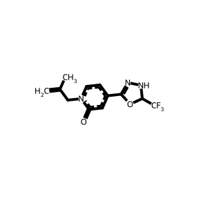 C=C(C)Cn1ccc(C2=NNC(C(F)(F)F)O2)cc1=O